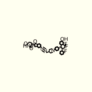 O=C1CC[C@H](N2Cc3cc(N4CCN(CC5CCN(c6ccc([C@H]7c8ccc(O)cc8C(F)(F)C[C@H]7c7ccccc7F)cc6)CC5)CC4)ccc3C2=O)C(=O)N1